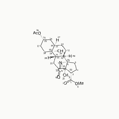 COC(=O)[C@H]1CC[C@]2(N=C=O)[C@@H]3CC[C@@H]4C[C@@H](OC(C)=O)CC[C@]4(C)[C@H]3CC[C@]12C